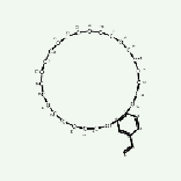 C=Cc1ccc2c(c1)OCCOCCOCCOCCOCCOCCOCCOCCO2